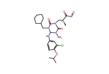 CC(C)Oc1ccc(NC2N(N)C(=O)N(C[C@H](C)C(=O)N=O)C(=O)N2CC2CCCCC2)cc1Cl